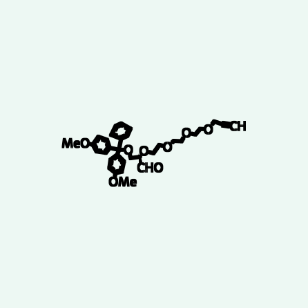 C#CCOCCOCCOCCO[C@@H](C=O)COC(c1ccccc1)(c1ccc(OC)cc1)c1ccc(OC)cc1